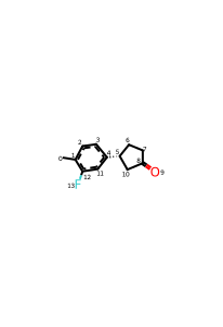 Cc1ccc([C@@H]2CCC(=O)C2)cc1F